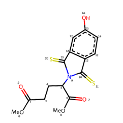 COC(=O)CCC(C(=O)OC)N1C(=S)c2ccc(O)cc2C1=S